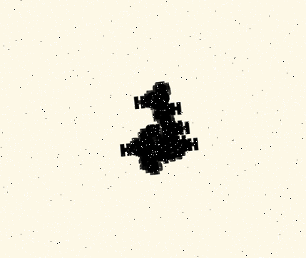 CCC(Cc1ccc(O)cc1)c1cc(O)c(C(CC)c2ccc(O)cc2)c(=O)o1.CCC(c1ccc(O)cc1)c1c(O)cc(C(CC)C(O)c2ccccc2)oc1=O.CCC(c1ccccc1)c1c(O)cc(C(CC)C(O)c2ccc(O)cc2)oc1=O